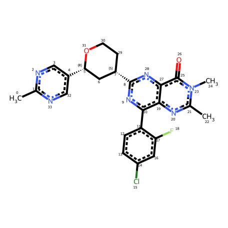 Cc1ncc([C@H]2C[C@@H](c3nc(-c4ccc(Cl)cc4F)c4nc(C)n(C)c(=O)c4n3)CCO2)cn1